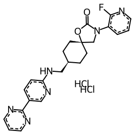 Cl.Cl.O=C1O[C@]2(CC[C@H](CNc3ccc(-c4ncccn4)cn3)CC2)CN1c1cccnc1F